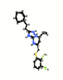 Cc1cc(CSc2cccc(F)c2F)nc2nc(CCc3ccccc3)nn12